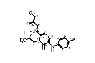 CC(C)C[C@H](NC(=O)Nc1ccc(Br)cc1)C(=O)NCC(=O)CO